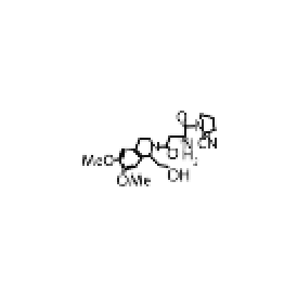 COc1cc2c(cc1OC)C(CCO)N(C(=O)C[C@H](N)C(=O)N1CCC[C@H]1C#N)CC2